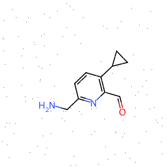 NCc1ccc(C2CC2)c(C=O)n1